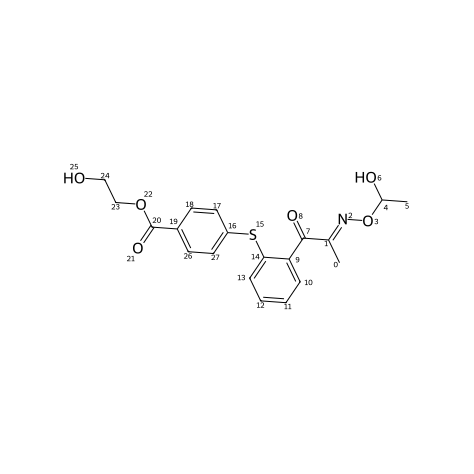 C/C(=N\OC(C)O)C(=O)c1ccccc1Sc1ccc(C(=O)OCCO)cc1